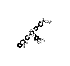 Bc1cc(C[C@@H](OC(=O)N2CCC(N3CCc4ccccc4NC3=O)CC2)C(=O)N2CCC(C3CCN(C(=O)C(=O)O)CC3)CC2)ccc1O